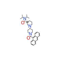 CC(C)N(C(=O)[C@@H]1CCCN(C2CCN(C(=O)c3c4ccccc4cc4ccccc34)CC2)C1)C(C)C